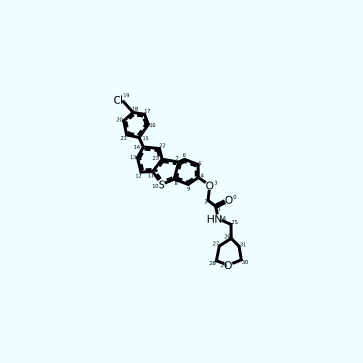 O=C(COc1ccc2c(c1)sc1ccc(-c3ccc(Cl)cc3)cc12)NCC1CCOCC1